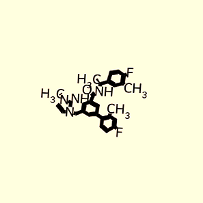 Cc1cc([C@H](C)NC(=O)c2cc(Cn3ccn(C)c3=N)cc(-c3ccc(F)cc3C)c2)ccc1F